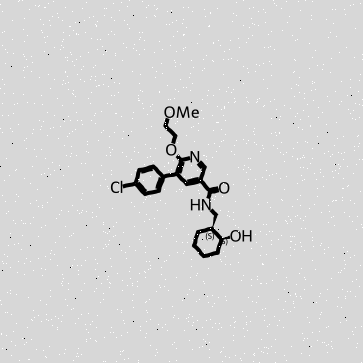 COCCOc1ncc(C(=O)NC[C@@H]2CCCC[C@@H]2O)cc1-c1ccc(Cl)cc1